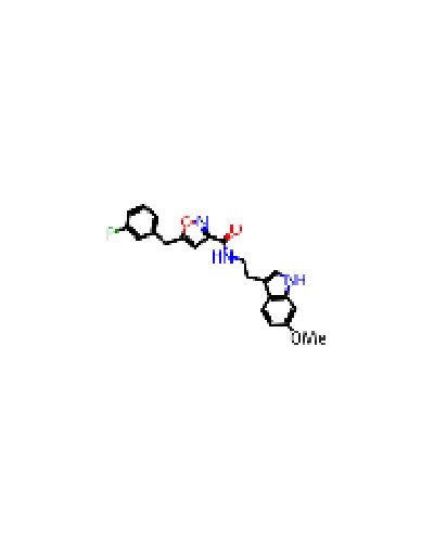 COc1ccc2c(CCNC(=O)c3cc(Cc4cccc(F)c4)on3)c[nH]c2c1